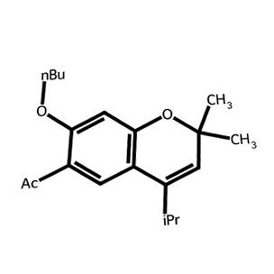 CCCCOc1cc2c(cc1C(C)=O)C(C(C)C)=CC(C)(C)O2